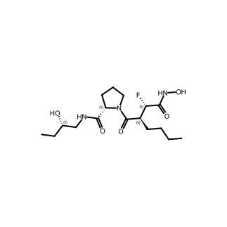 CCCC[C@@H](C(=O)N1CCC[C@H]1C(=O)NC[C@@H](O)CC)[C@H](F)C(=O)NO